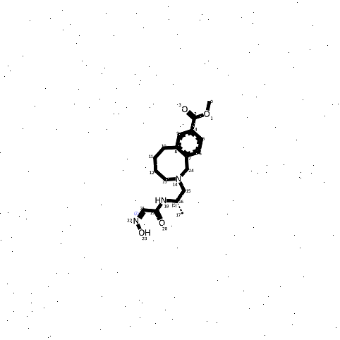 COC(=O)c1ccc2c(c1)CCCCN(C[C@H](C)NC(=O)/C=N\O)C2